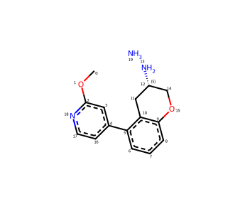 COc1cc(-c2cccc3c2C[C@H](N)CO3)ccn1.N